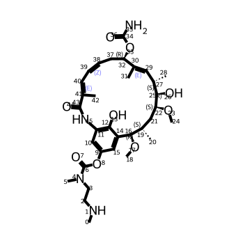 CNCCN(C)C(=O)Oc1cc2c(O)c(c1)[C@H](OC)[C@@H](C)C[C@H](OC)[C@H](O)[C@@H](C)/C=C(\C)[C@H](OC(N)=O)C/C=C\C=C(/C)C(=O)N2